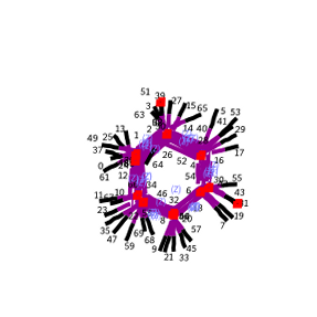 C/I(=I(\C)=I(\C)=I(\C)=I(\C)=I(\C)=I(\C)=I(\C)=I(\C)=I(\C)=I(\C)=I(\C)=I(\C)=I(\C)=I(\C)=I(\C)=I(\C)=I(\C)=I(\C)=I(\C)=I(\C)=I(\C)=I(\C)=I(\C)=I(\C)=I(\C)=I(\C)=I(\C)=I(\C)=I(\C)=I(\C)=I(C)(C)C)=I(C)(C)C